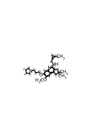 COc1cc2c3c(c(NCC4CC4C)nc2cc1OCCCN1CCCC1)CC(C)(C)C3